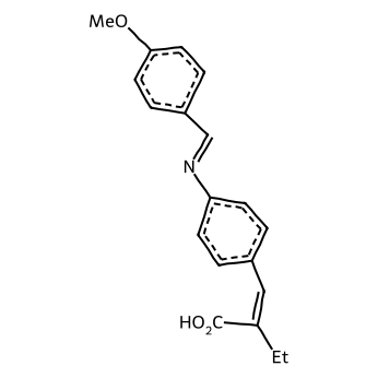 CCC(=Cc1ccc(N=Cc2ccc(OC)cc2)cc1)C(=O)O